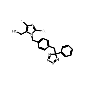 CCCCc1nc(Cl)c(CO)n1Cc1ccc(CC2(c3ccccc3)N=NN=N2)cc1